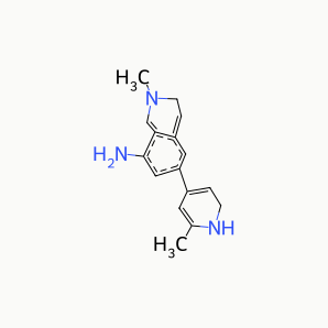 CC1=CC(c2cc(N)c3c(c2)=CCN(C)C=3)=CCN1